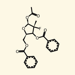 CC(=O)O[C@@H]1O[C@H](COC(=O)c2ccccc2)C(OC(=O)c2ccccc2)[C@@]1(C)F